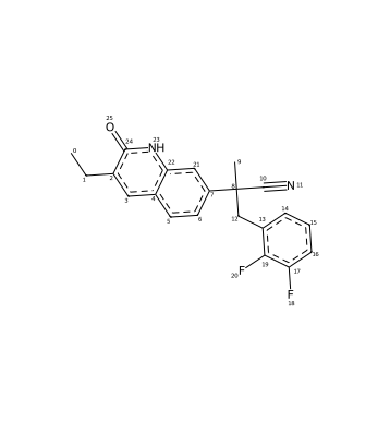 CCc1cc2ccc(C(C)(C#N)Cc3cccc(F)c3F)cc2[nH]c1=O